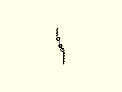 CCCCCCCCCc1cnc(-c2ccc(OC[C@H]3CC[C@H](CCCCCCC)CC3)cc2)cn1